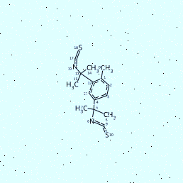 Cc1ccc(C(C)(C)N=C=S)cc1C(C)(C)N=C=S